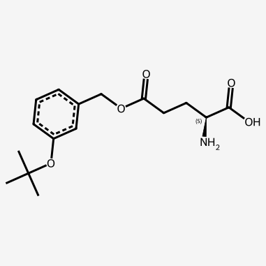 CC(C)(C)Oc1cccc(COC(=O)CC[C@H](N)C(=O)O)c1